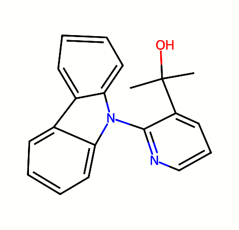 CC(C)(O)c1cccnc1-n1c2ccccc2c2ccccc21